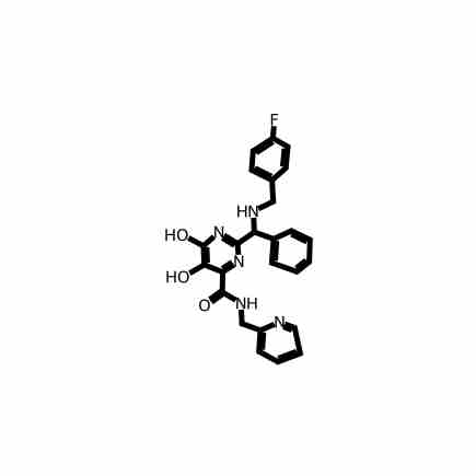 O=C(NCc1ccccn1)c1nc(C(NCc2ccc(F)cc2)c2ccccc2)nc(O)c1O